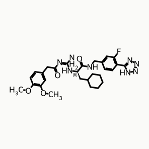 COc1ccc(CC(=O)N=C(N)N[C@H](CC2CCCCC2)C(=O)NCc2ccc(-c3nnn[nH]3)c(F)c2)cc1OC